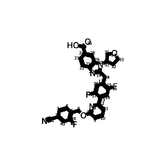 N#Cc1ccc(COc2cccc(-c3cc(F)c(Cc4nc5ccc(C(=O)O)cc5n4C4CCOC4)cc3F)n2)c(F)c1